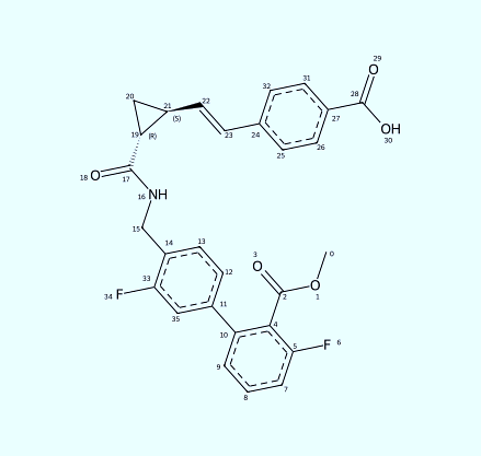 COC(=O)c1c(F)cccc1-c1ccc(CNC(=O)[C@@H]2C[C@H]2C=Cc2ccc(C(=O)O)cc2)c(F)c1